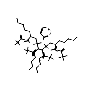 CCCCCC(CC(OC(N)=O)(C(CCCCC)NC(=O)C(F)(F)F)N(c1ccnnn1)C(CC(CCCCC)NC(=O)C(F)(F)F)(OC(N)=O)C(CCCCC)NC(=O)C(F)(F)F)NC(=O)C(F)(F)F